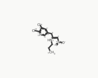 CCCN/C(=C\[N+](=O)[O-])Cc1cnc(Cl)c(Cl)c1